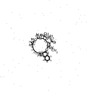 CC[C@@H]1[C@@H]2CN(C(=O)[C@H](C(C)(C)C)NC(=O)O[C@@H]3C[C@H]3CCCCC(F)(F)c3nc4ccccc4nc3O2)[C@@H]1C(C)=O